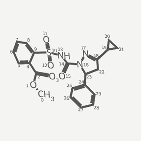 COC(=O)c1ccccc1S(=O)(=O)NC(=O)N1N=C(C2CC2)CC1c1ccccc1